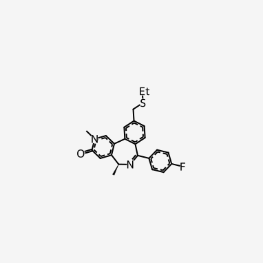 CCSCc1ccc2c(c1)-c1cn(C)c(=O)cc1[C@H](C)N=C2c1ccc(F)cc1